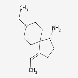 C/C=C1\CC[C@@H](N)C12CCN(CC)CC2